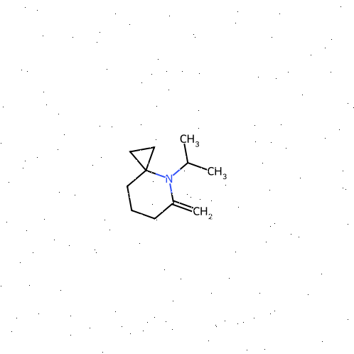 C=C1CCCC2(CC2)N1C(C)C